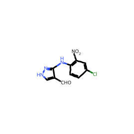 O=Cc1c[nH]nc1Nc1ccc(Cl)cc1[N+](=O)[O-]